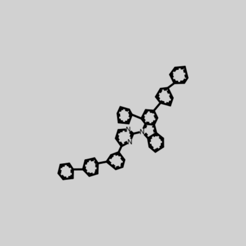 c1ccc(-c2ccc(-c3cccc(-c4ccnc(-n5c6ccccc6c6cc(-c7ccc(-c8ccccc8)cc7)cc(-c7ccccc7)c65)n4)c3)cc2)cc1